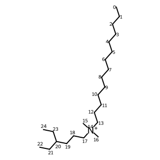 CCCCCCCCCCCCCC[N+](C)(C)CCCC(CC)CC